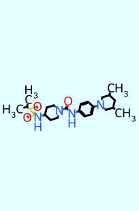 CC1CC(C)CN(c2ccc(NC(=O)N3CCC(NS(=O)(=O)C(C)C)CC3)cc2)C1